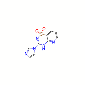 O=S1(=O)N=C(n2ccnc2)Nc2ncccc21